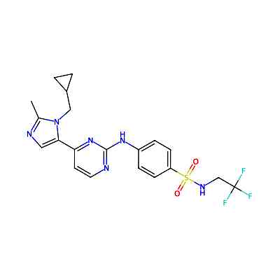 Cc1ncc(-c2ccnc(Nc3ccc(S(=O)(=O)NCC(F)(F)F)cc3)n2)n1CC1CC1